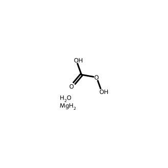 O.O=C(O)OO.[MgH2]